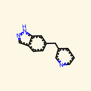 c1cncc(Cc2ccc3cn[nH]c3c2)c1